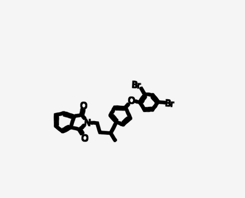 CC(CCN1C(=O)c2ccccc2C1=O)c1ccc(Oc2ccc(Br)cc2Br)cc1